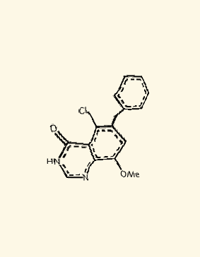 COc1cc(-c2ccccc2)c(Cl)c2c(=O)[nH]cnc12